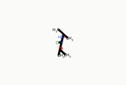 CCCCCCCCC(CCCCCC)CC(=O)NCCCCCN(CCCl)CCCCCOC(=O)CC(CCCCCC)CCCCCCCC